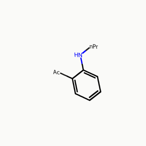 CCCNc1ccccc1C(C)=O